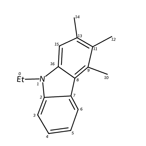 CCn1c2ccccc2c2c(C)c(C)c(C)cc21